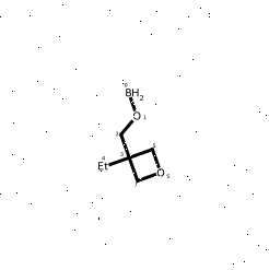 BOCC1(CC)COC1